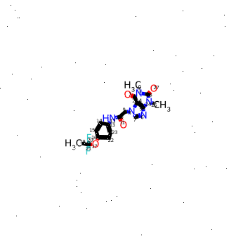 Cn1c(=O)c2c(ncn2CC(=O)Nc2ccc(OC(C)(F)F)cc2)n(C)c1=O